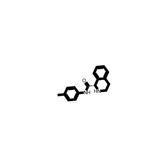 Cc1ccc(NC(=O)[C@H]2NCCc3ccccc32)cc1